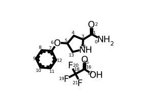 NC(=O)C1CC(Oc2ccccc2)CN1.O=C(O)C(F)(F)F